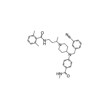 CNC(=O)c1ccc(N(Cc2cccc(C#N)c2)C2CCN(C(C)CCNC(=O)c3c(C)cccc3C)CC2)cc1